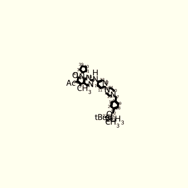 CC(=O)c1c(C)c2cnc(Nc3ccc(N4CCN(Cc5ccc(CO[Si](C)(C)C(C)(C)C)cc5)CC4)nc3)nc2n(C2CCCC2)c1=O